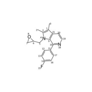 Cc1c(C)n(CC2CO2)c2c(-c3ccc(F)cc3)nccc12